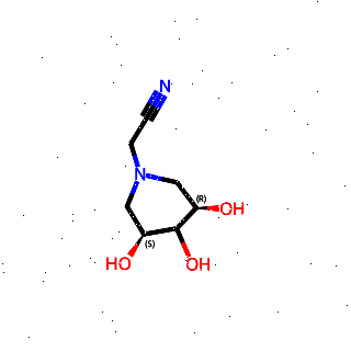 N#CCN1C[C@@H](O)C(O)[C@@H](O)C1